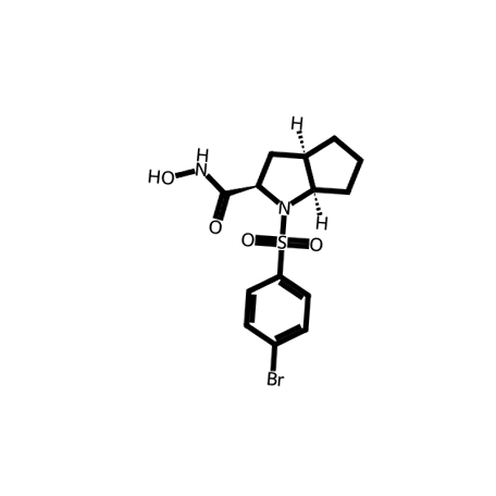 O=C(NO)[C@H]1C[C@H]2CCC[C@H]2N1S(=O)(=O)c1ccc(Br)cc1